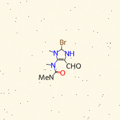 CNC(=O)N(C)C1=C(C=O)NC(Br)N1C